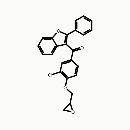 O=C(c1ccc(OCC2CO2)c(Cl)c1)c1c(-c2ccccc2)oc2ccccc12